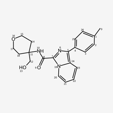 Cc1ccc(-c2nc(C(=O)NC3(CO)CCOCC3)n3ccccc23)cc1